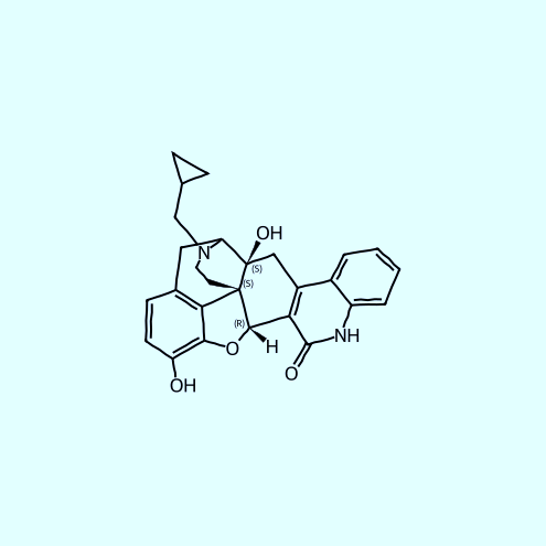 O=c1[nH]c2ccccc2c2c1[C@@H]1Oc3c(O)ccc4c3[C@@]13CCN(CC1CC1)C(C4)[C@]3(O)C2